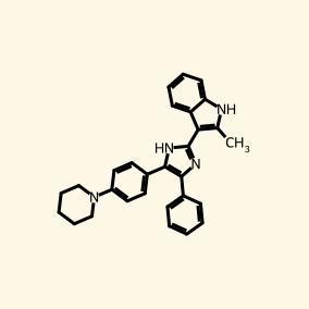 Cc1[nH]c2ccccc2c1-c1nc(-c2ccccc2)c(-c2ccc(N3CCCCC3)cc2)[nH]1